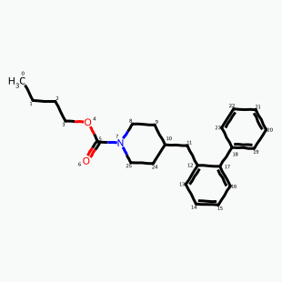 CCCCOC(=O)N1CCC(Cc2ccccc2-c2ccccc2)CC1